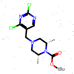 C[C@@H]1CN(Cc2cnc(Cl)nc2Cl)C[C@H](C)N1C(=O)OC(C)(C)C